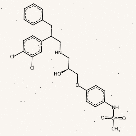 CS(=O)(=O)Nc1ccc(OC[C@@H](O)CNCC(Cc2ccccc2)c2ccc(Cl)c(Cl)c2)cc1